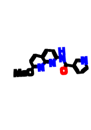 COc1ccc2ccc(NC(=O)c3cccnc3)nc2n1